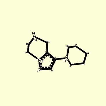 c1nn2c(c1N1CCCCC1)CNCC2